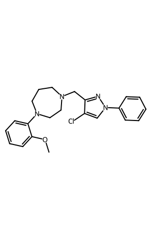 COc1ccccc1N1CCCN(Cc2nn(-c3ccccc3)cc2Cl)CC1